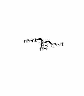 CCCCC[CH2][Al][CH2]CCCCC.[HH].[HH]